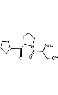 N[C@@H](CO)C(=O)N1CCC[C@H]1C(=O)N1CCCC1